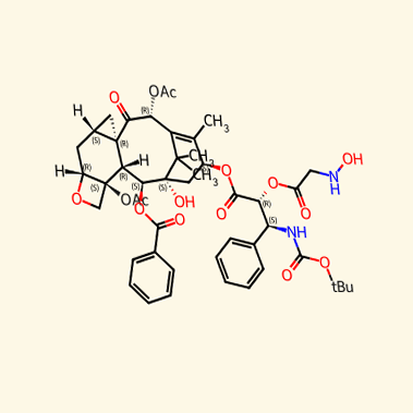 CC(=O)O[C@H]1C(=O)[C@]23C[C@H]2C[C@H]2OC[C@@]2(OC(C)=O)[C@H]3[C@H](OC(=O)c2ccccc2)[C@]2(O)C[C@H](OC(=O)[C@H](OC(=O)CNO)[C@@H](NC(=O)OC(C)(C)C)c3ccccc3)C(C)=C1C2(C)C